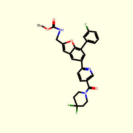 CC(C)(C)OC(=O)NCc1cc2cc(-c3ccc(C(=O)N4CCC(F)(F)CC4)cn3)cc(-c3cccc(F)c3)c2o1